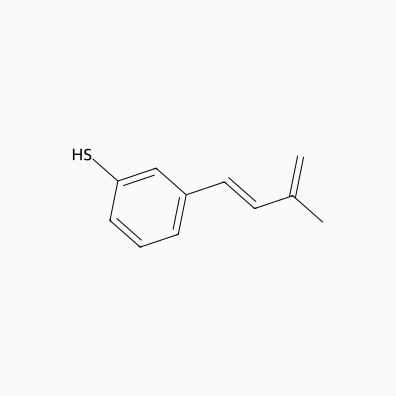 C=C(C)/C=C/c1cccc(S)c1